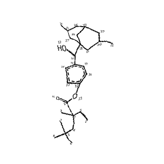 CCC(C)(CC(C)(C)C)C(=O)Oc1ccc(C(O)C23CC(C)CC(CC(C)C2)C3)cc1